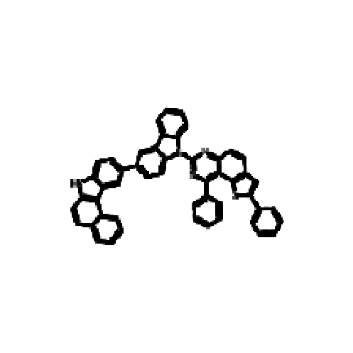 c1ccc(-c2cc3ccc4nc(-n5c6ccccc6c6cc(-c7ccc8[nH]c9ccc%10ccccc%10c9c8c7)ccc65)nc(-c5ccccc5)c4c3s2)cc1